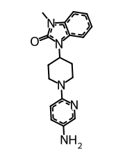 Cn1c(=O)n(C2CCN(c3ccc(N)cn3)CC2)c2ccccc21